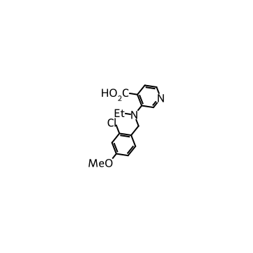 CCN(Cc1ccc(OC)cc1Cl)c1cnccc1C(=O)O